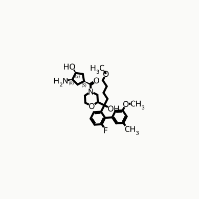 COCCCCC(O)(c1cccc(F)c1-c1cc(C)cc(OC)c1)C1CN(C(=O)[C@H]2C[C@@H](N)[C@@H](O)C2)CCO1